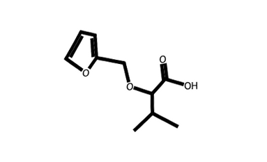 CC(C)C(OCc1ccco1)C(=O)O